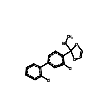 CNC1(c2ccc(-c3ccccc3Cl)cc2Cl)OC=CO1